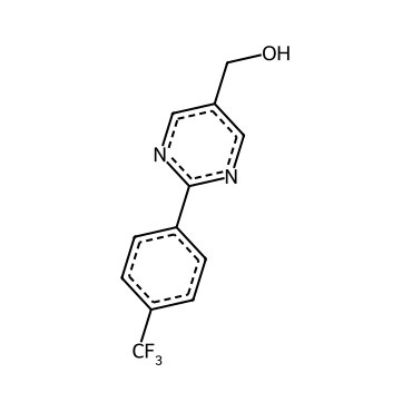 OCc1cnc(-c2ccc(C(F)(F)F)cc2)nc1